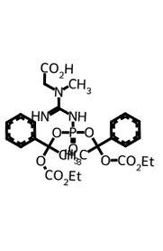 CCOC(=O)OC(C)(OP(=O)(NC(=N)N(C)CC(=O)O)OC(C)(OC(=O)OCC)c1ccccc1)c1ccccc1